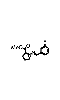 COC(=O)C1CCCN1N=Cc1cccc(F)c1